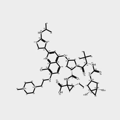 CC[C@@H]1CC1(NC(=O)[C@@H]1C[C@@H](Oc2cc(C3CSC(NC(C)C)=N3)nc3c(Cl)c(OCCN4CCN(C)CC4)ccc23)CN1C(=O)[C@@H](NC(=O)O[C@@H]1C[C@@H]2C[C@@H]2C1)C(C)(C)C)C(=O)O